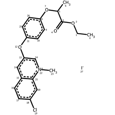 CCOC(=O)C(C)Oc1ccc(Oc2cc3ccc(Cl)cc3[n+](C)c2)cc1.[I-]